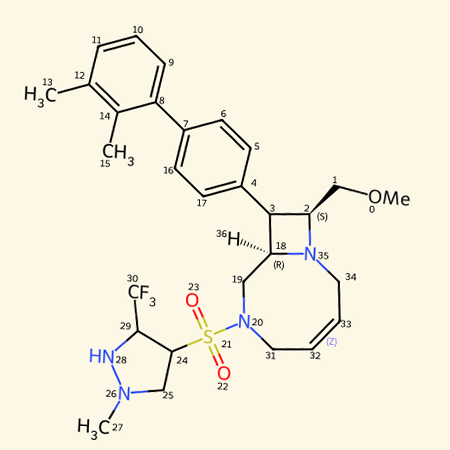 COC[C@@H]1C(c2ccc(-c3cccc(C)c3C)cc2)[C@@H]2CN(S(=O)(=O)C3CN(C)NC3C(F)(F)F)C/C=C\CN12